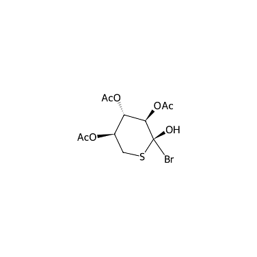 CC(=O)O[C@@H]1[C@@H](OC(C)=O)[C@](O)(Br)SC[C@H]1OC(C)=O